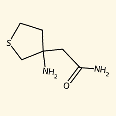 NC(=O)CC1(N)CCSC1